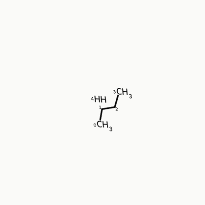 CCCC.[HH]